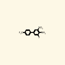 Nc1c(F)cc(-c2ccc(C(F)(F)F)cc2)cc1[N+](=O)[O-]